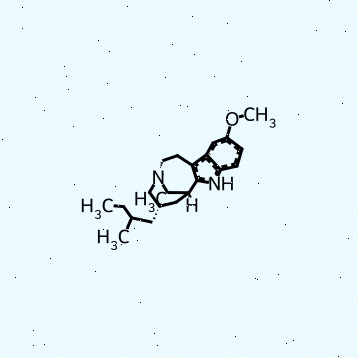 CCC(C)C[C@H]1C[C@H]2c3[nH]c4ccc(OC)cc4c3CC[N@@](C1)C2C